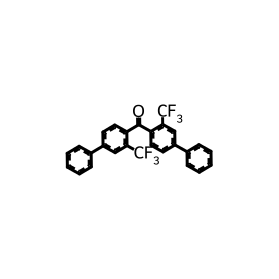 O=C(c1ccc(-c2ccccc2)cc1C(F)(F)F)c1ccc(-c2ccccc2)cc1C(F)(F)F